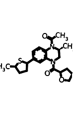 CC(=O)N1c2ccc(C3CCC(C)S3)cc2N(C(=O)C2CCCO2)C[C@@H]1C